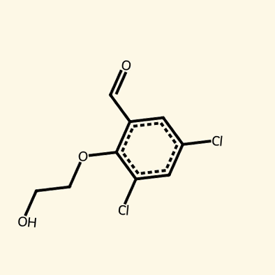 O=Cc1cc(Cl)cc(Cl)c1OCCO